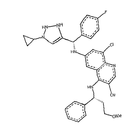 COCC[C@@H](Nc1c(C#N)cnc2c(Cl)cc(N[C@H](C3=CN(C4CC4)NN3)c3ccc(F)cc3)cc12)c1ccccc1